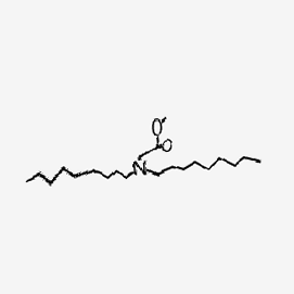 CCCCCCCCCN(CCCCCCCCC)CC(=O)OC